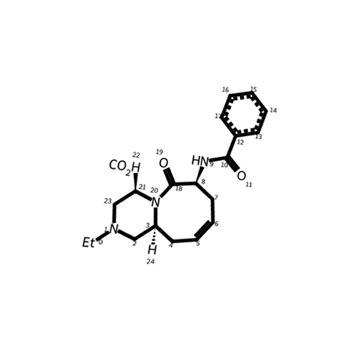 CCN1C[C@@H]2C/C=C\C[C@H](NC(=O)c3ccccc3)C(=O)N2[C@H](C(=O)O)C1